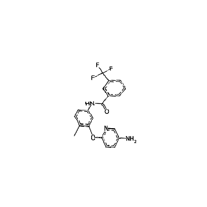 Cc1ccc(NC(=O)c2cccc(C(F)(F)F)c2)cc1Oc1ccc(N)cn1